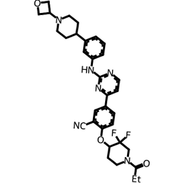 CCC(=O)N1CCC(Oc2ccc(-c3ccnc(Nc4cccc(C5CCN(C6COC6)CC5)c4)n3)cc2C#N)C(F)(F)C1